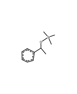 CC(O[Si](C)(C)C)c1ccccc1